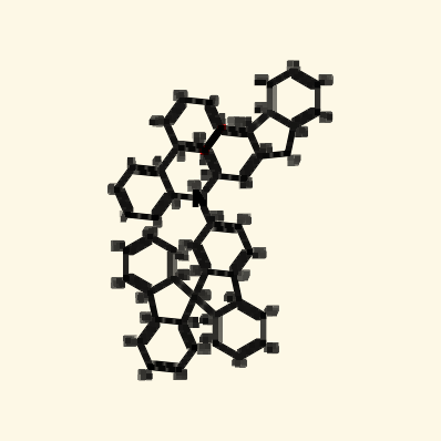 c1ccc(-c2ccccc2N(c2ccc3c(c2)Cc2ccccc2-3)c2ccc3c(c2)C2(c4ccccc4-c4ccccc42)c2ccccc2-3)cc1